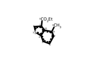 CCOC(=O)c1csc2cccc(C)c12